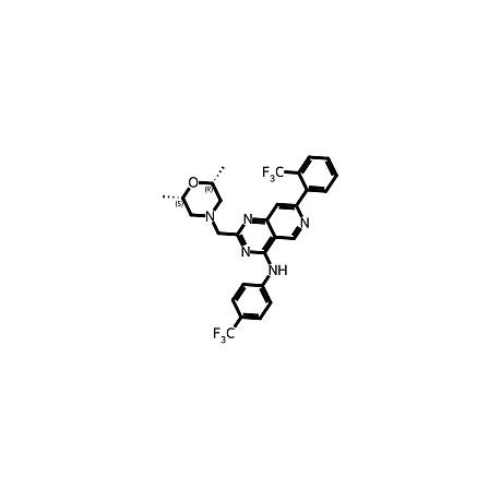 C[C@@H]1CN(Cc2nc(Nc3ccc(C(F)(F)F)cc3)c3cnc(-c4ccccc4C(F)(F)F)cc3n2)C[C@H](C)O1